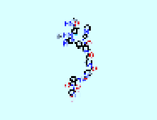 Cc1cc(F)c(Nc2nc(-c3ccc4c(c3)N(C3CC(N5CCCCC5)C3)C(=O)C43CCN(C(=O)CC4CCN(C(=O)C5CCN(C(=O)CNc6cccc7c6C(=O)N([C@@H]6CCC(=O)NC6=O)C7=O)CC5)CC4)CC3)cc3ncn(C(C)C)c23)cc1C(=O)NC(C)C